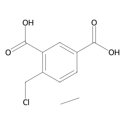 CC.O=C(O)c1ccc(CCl)c(C(=O)O)c1